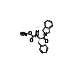 CC(C)(C)OC(=O)N[C@@H](Cc1ccccc1)C(=O)N1Cc2ccccc2C1